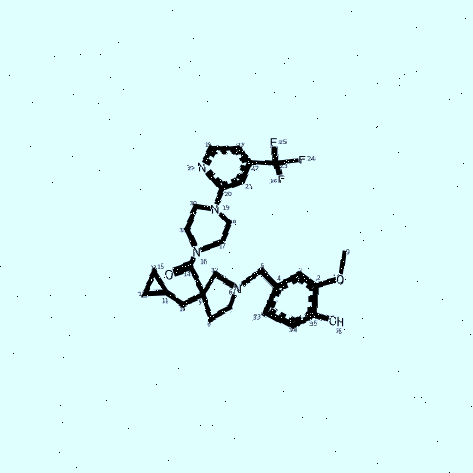 COc1cc(CN2CCC(CC3CC3)(C(=O)N3CCN(c4cc(C(F)(F)F)ccn4)CC3)C2)ccc1O